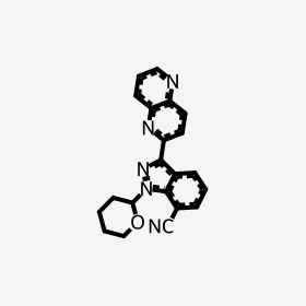 N#Cc1cccc2c(-c3ccc4ncccc4n3)nn(C3CCCCO3)c12